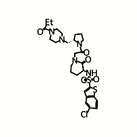 CCC(=O)N1CCN(C[C@@H]2CCCN2C(=O)CN2CCC[C@H](NS(=O)(=O)c3cc4cc(Cl)ccc4s3)C2=O)CC1